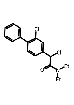 CCN(CC)C(=O)C(Cl)c1ccc(-c2ccccc2)c(Cl)c1